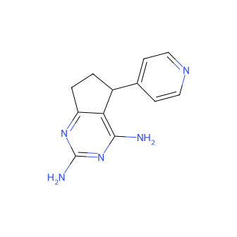 Nc1nc(N)c2c(n1)CCC2c1ccncc1